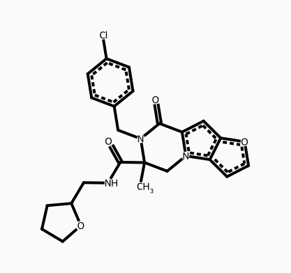 CC1(C(=O)NCC2CCCO2)Cn2c(cc3occc32)C(=O)N1Cc1ccc(Cl)cc1